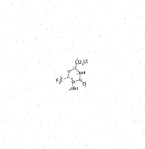 CCOC(=O)C(CCC(F)(F)F)NC(=O)OC(C)(C)C